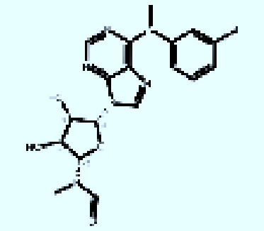 CN(c1cccc(I)c1)c1ncnc2c1ncn2[C@@H]1O[C@H](N(C)[C]=O)[C@@H](O)[C@H]1O